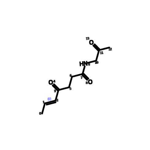 C/C=C/C(=O)CCC(=O)NCC(C)=O